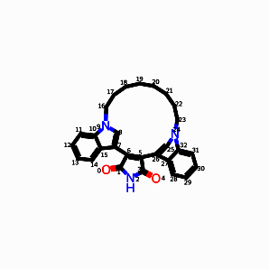 O=C1NC(=O)C2=C1c1cn(c3ccccc13)CCCCCCCCn1cc2c2ccccc21